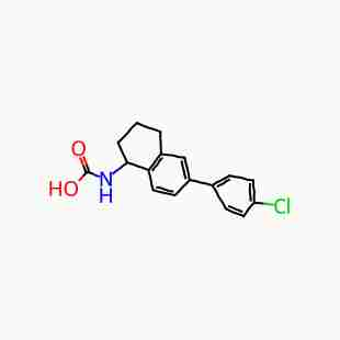 O=C(O)NC1CCCc2cc(-c3ccc(Cl)cc3)ccc21